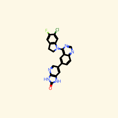 O=c1[nH]c2cc(-c3ccc4ncnc(N5CCc6cc(F)c(Cl)cc65)c4c3)cnc2[nH]1